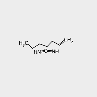 C=CCCCCC.N=C=N